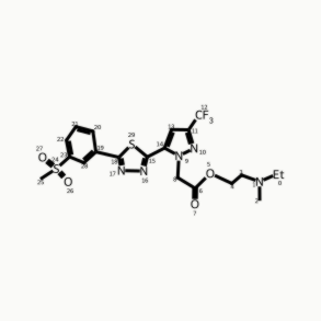 CCN(C)CCOC(=O)Cn1nc(C(F)(F)F)cc1-c1nnc(-c2cccc(S(C)(=O)=O)c2)s1